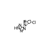 Fc1ccc(Cl)cc1CNc1ncnc2[nH]cnc12